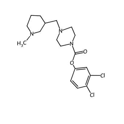 CN1CCCC(CN2CCN(C(=O)Oc3ccc(Cl)c(Cl)c3)CC2)C1